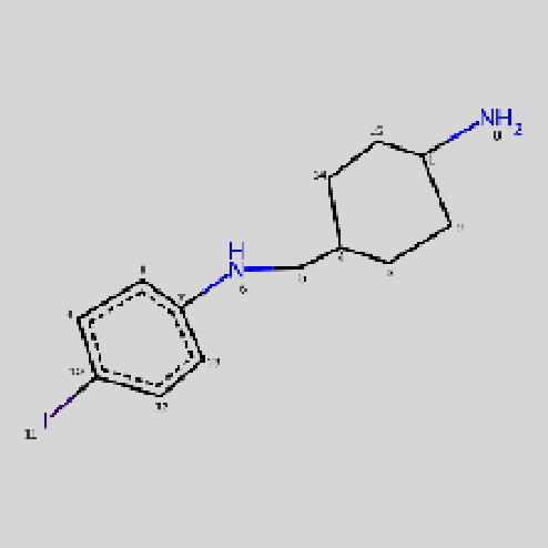 NC1CCC(CNc2ccc(I)cc2)CC1